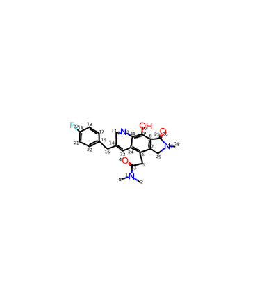 CN(C)C(=O)Cc1c2c(c(O)c3ncc(Cc4ccc(F)cc4)cc13)C(=O)N(C)C2